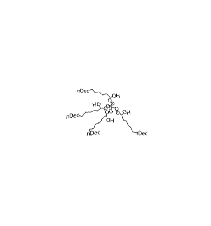 CCCCCCCCCCCCCCCC(O)O[O][Ti]([O]OC(O)CCCCCCCCCCCCCCC)([O]OC(O)CCCCCCCCCCCCCCC)[O]OC(O)CCCCCCCCCCCCCCC